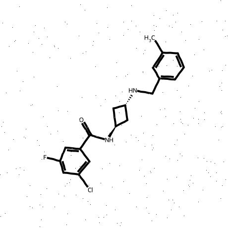 Cc1cccc(CN[C@H]2C[C@H](NC(=O)c3cc(F)cc(Cl)c3)C2)c1